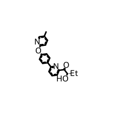 CC[C@H](O)C(=O)c1cccc(-c2ccc(Oc3ccc(C)cn3)cc2)n1